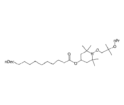 CCCCCCCCCCCCCCCCCCCC(=O)OC1CC(C)(C)N(OCC(C)(C)OCCC)C(C)(C)C1